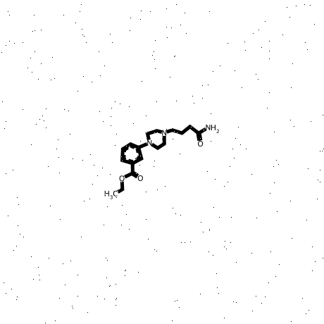 CCOC(=O)c1cccc(N2CCN(CCCC(N)=O)CC2)c1